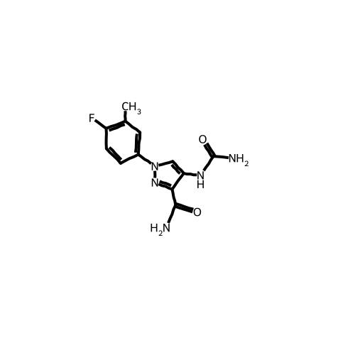 Cc1cc(-n2cc(NC(N)=O)c(C(N)=O)n2)ccc1F